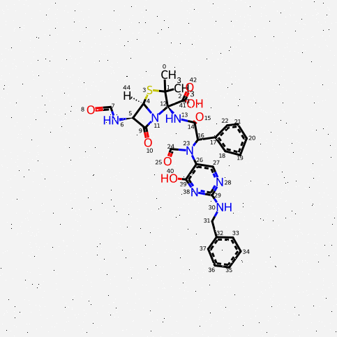 CC1(C)S[C@@H]2[C@H](NC=O)C(=O)N2[C@@]1(NC(=O)C(c1ccccc1)N(C=O)c1cnc(NCc2ccccc2)nc1O)C(=O)O